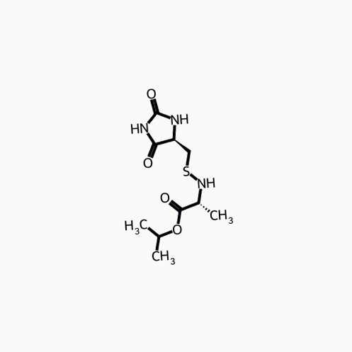 CC(C)OC(=O)[C@@H](C)NSC[C@@H]1NC(=O)NC1=O